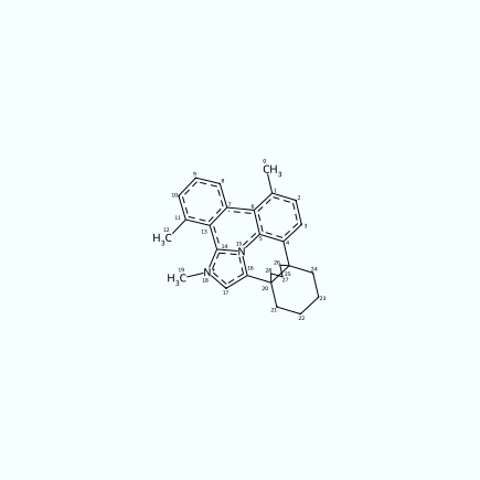 Cc1ccc2c3c1c1cccc(C)c1c1n3c(c[n+]1C)C13CCCCC21CCC3